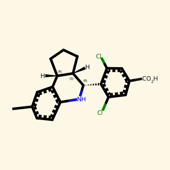 Cc1ccc2c(c1)[C@@H]1CCC[C@@H]1[C@H](c1c(Cl)cc(C(=O)O)cc1Cl)N2